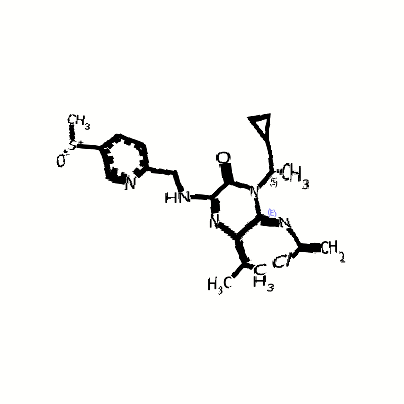 C=C(Cl)/N=C1\C(=C(C)C)N=C(NCc2ccc([S+](C)[O-])cn2)C(=O)N1[C@@H](C)C1CC1